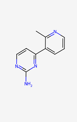 Cc1ncccc1-c1ccnc(N)n1